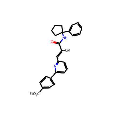 CCOC(=O)c1ccc(-c2cccc(/C=C(\C#N)C(=O)NC3(c4ccccc4)CCCC3)n2)cc1